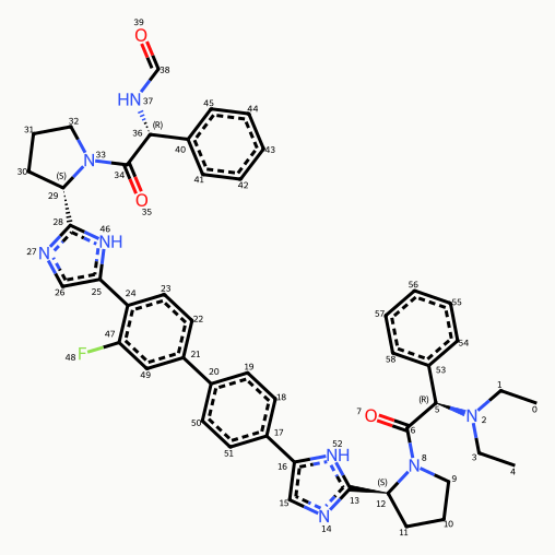 CCN(CC)[C@@H](C(=O)N1CCC[C@H]1c1ncc(-c2ccc(-c3ccc(-c4cnc([C@@H]5CCCN5C(=O)[C@H](NC=O)c5ccccc5)[nH]4)c(F)c3)cc2)[nH]1)c1ccccc1